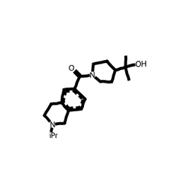 CC(C)N1CCc2cc(C(=O)N3CCC(C(C)(C)O)CC3)ccc2C1